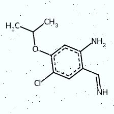 CC(C)Oc1cc(N)c(C=N)cc1Cl